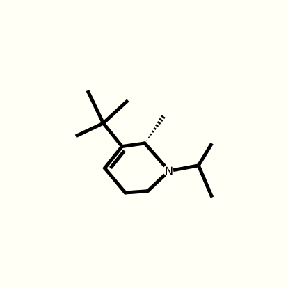 CC(C)N1CCC=C(C(C)(C)C)[C@@H]1C